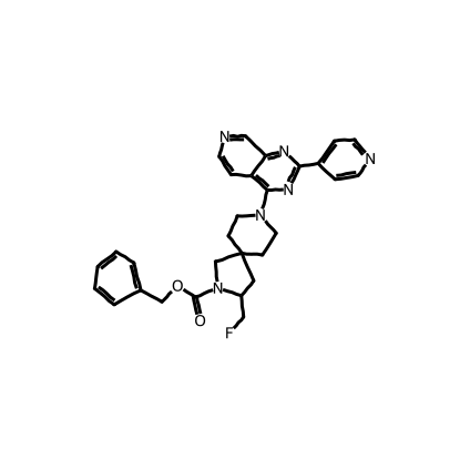 O=C(OCc1ccccc1)N1CC2(CCN(c3nc(-c4ccncc4)nc4cnccc34)CC2)CC1CF